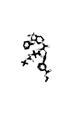 CCOC(=O)c1cccc(C#CC[C@@H](NC(=O)C(C)(C)NC(=O)OC(C)(C)C)C(=O)N2CCC3=NN(C)C(=O)[C@]3(Cc3ccccc3)C2)c1